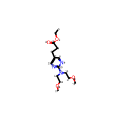 CCOC(=O)CCc1cnc(N(CCOC)CCOC)nc1